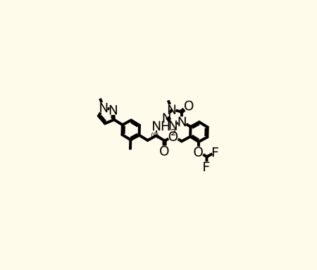 Cc1cc(-c2ccn(C)n2)ccc1C[C@H](N)C(=O)OCc1c(OC(F)F)cccc1-n1nnn(C)c1=O